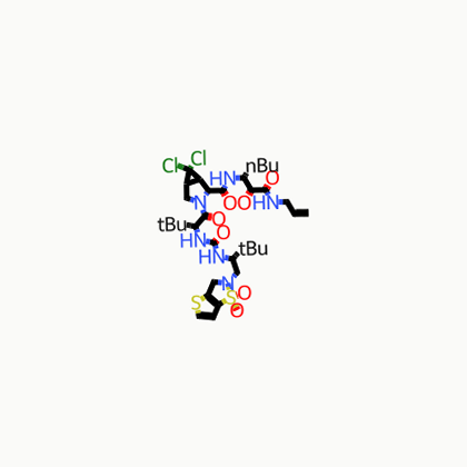 C=CCNC(=O)C(=O)C(CCCC)NC(=O)C1C2C(CN1C(=O)C(NC(=O)NC(CN1Cc3sccc3S1(=O)=O)C(C)(C)C)C(C)(C)C)C2(Cl)Cl